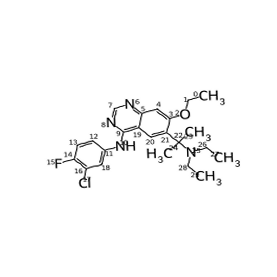 CCOc1cc2ncnc(Nc3ccc(F)c(Cl)c3)c2cc1C(C)(C)N(CC)CC